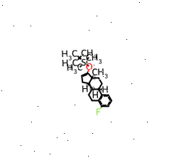 CC(C)(C)[Si](C)(C)OC1=CC[C@H]2[C@@H]3CCc4c(F)cccc4[C@H]3CC[C@]12C